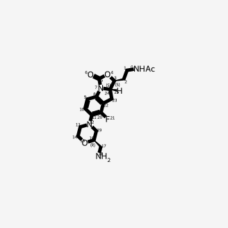 CC(=O)NCC[C@@H]1OC(=O)N2c3ccc(N4CCO[C@H](CN)C4)c(F)c3C[C@@H]12